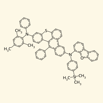 Cc1cc(C)c(N(c2ccccc2)c2ccc3c(c2)Sc2cccc4c2c-3c(-c2ccccc2)c2ccc(N(c3ccc([Si](C)(C)C)cc3)c3cccc5c3oc3ccccc35)cc24)c(C)c1